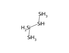 [SiH3][SiH][SiH2][SiH3]